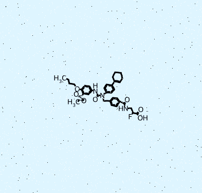 CCCCOc1ccc(NC(=O)N(Cc2ccc(C(=O)NCC(F)C(=O)O)cc2)c2ccc(C3=CCCCC3)cc2)cc1S(C)(=O)=O